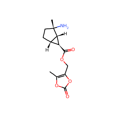 Cc1oc(=O)oc1COC(=O)[C@H]1[C@@H]2CC[C@](C)(N)[C@@H]21